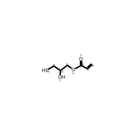 C=CC(=O)OCC(O)CS